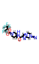 CC1(NC(=O)c2cn3c(n2)CN(C#N)CC3)CCN(C(=O)OC(C(F)(F)F)C(F)(F)F)CC1